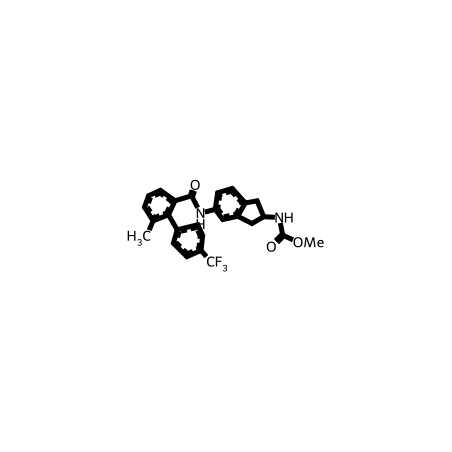 COC(=O)NC1Cc2ccc(NC(=O)c3cccc(C)c3-c3ccc(C(F)(F)F)cc3)cc2C1